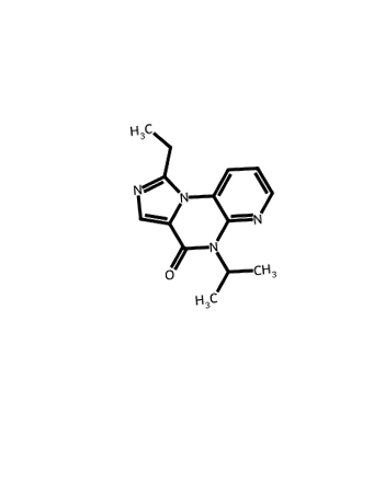 CCc1ncc2c(=O)n(C(C)C)c3ncccc3n12